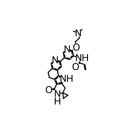 C=CC(=O)Nc1cc(-c2cc3c(cn2)CCc2c-3[nH]c3c2C(=O)NC2(CC2)C3)cnc1OCCN(C)C